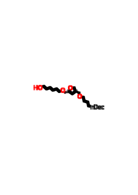 CCCCCCCCCCCCCCOC[C@@H]1CO[C@@H](COCCCCCCO)C1